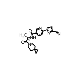 C[C@@H](NC(=O)c1ccc(-n2ccc(C#N)n2)nc1)C(=O)N1CCC2(CC1)CC2